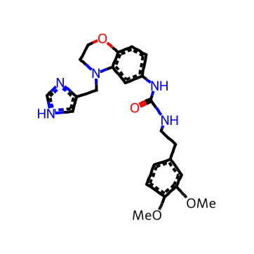 COc1ccc(CCNC(=O)Nc2ccc3c(c2)N(Cc2c[nH]cn2)CCO3)cc1OC